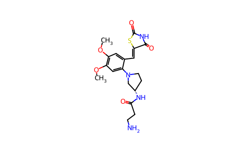 COc1cc(/C=C2\SC(=O)NC2=O)c(N2CC[C@H](NC(=O)CCN)C2)cc1OC